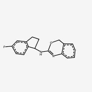 Fc1ccc2c(c1)CCC2NC1=Nc2cc[c]cc2CO1